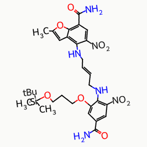 Cc1cc2c(NCC=CCNc3c(OCCCO[Si](C)(C)C(C)(C)C)cc(C(N)=O)cc3[N+](=O)[O-])c([N+](=O)[O-])cc(C(N)=O)c2o1